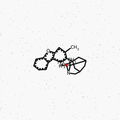 Cc1cc2oc3ccccc3c2cc1C12CC3CC(C1)C(C)(C)N(C3)[C@@H]2C